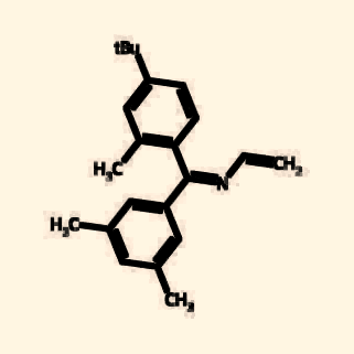 C=C/N=C(/c1cc(C)cc(C)c1)c1ccc(C(C)(C)C)cc1C